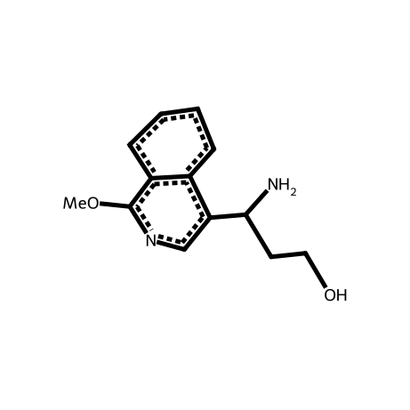 COc1ncc(C(N)CCO)c2ccccc12